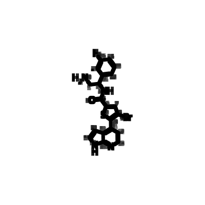 NCC(NC(=O)c1cc(Br)c(-c2ccnc3[nH]ccc23)s1)c1cccc(F)c1